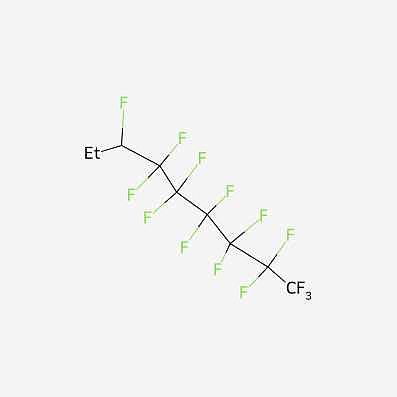 CCC(F)C(F)(F)C(F)(F)C(F)(F)C(F)(F)C(F)(F)C(F)(F)F